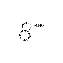 O=CC1C=[C]c2ccccc21